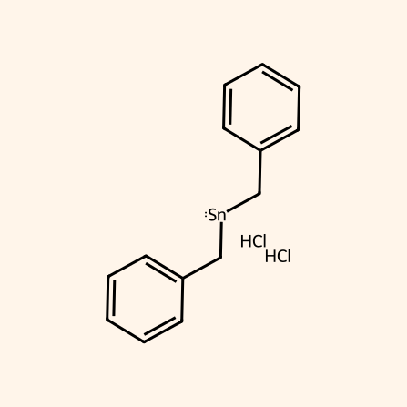 Cl.Cl.c1ccc([CH2][Sn][CH2]c2ccccc2)cc1